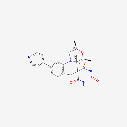 C[C@@H]1CN2c3cc(-c4ccncc4)ccc3CC3(C(=O)NC(=O)NC3=O)[C@H]2[C@H](C)O1